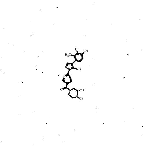 CCN1CCN(C(=O)c2ccc(-n3ncc(-c4ccc(C#N)c(F)c4C)c3N=O)nc2)C[C@@H]1C